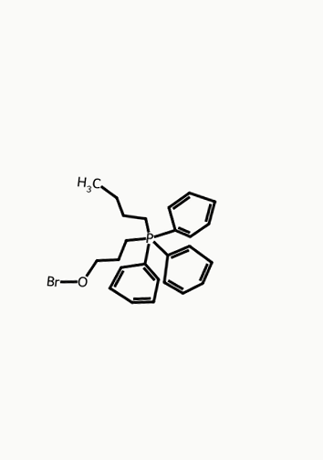 CCCCP(CCCOBr)(c1ccccc1)(c1ccccc1)c1ccccc1